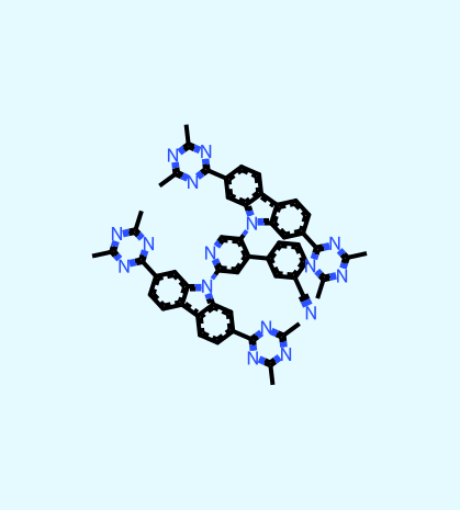 Cc1nc(C)nc(-c2ccc3c4ccc(-c5nc(C)nc(C)n5)cc4n(-c4cc(-c5cccc(C#N)c5)c(-n5c6cc(-c7nc(C)nc(C)n7)ccc6c6ccc(-c7nc(C)nc(C)n7)cc65)cn4)c3c2)n1